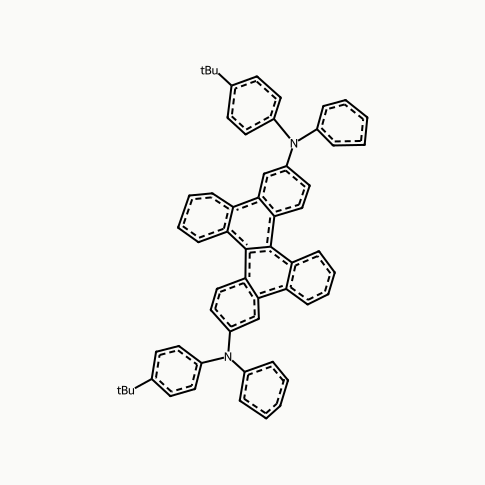 CC(C)(C)c1ccc(N(c2ccccc2)c2ccc3c(c2)c2ccccc2c2c4ccc(N(c5ccccc5)c5ccc(C(C)(C)C)cc5)cc4c4ccccc4c32)cc1